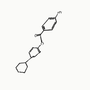 CCCc1ccc(C(=O)Oc2ccc(C3CCCCC3)cc2)cc1